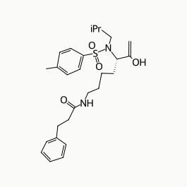 C=C(O)[C@H](CCCCNC(=O)CCc1ccccc1)N(CC(C)C)S(=O)(=O)c1ccc(C)cc1